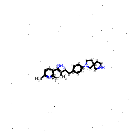 Bc1ccc(/C(N)=C(\C)CCc2ccc(N3CCC4(CCNC4)C3)cc2)c(C)n1